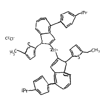 Cc1ccc(C2[C]([Zr+2][C]3=Cc4c(-c5ccc(C(C)C)cc5)cccc4C3c3ccc(C)s3)=Cc3c(-c4ccc(C(C)C)cc4)cccc32)s1.[Cl-].[Cl-]